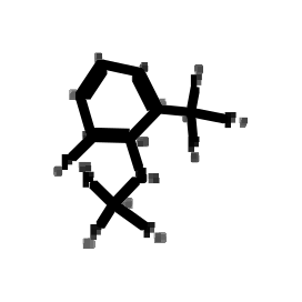 Fc1cccc(C(F)(F)F)c1SC(F)(F)F